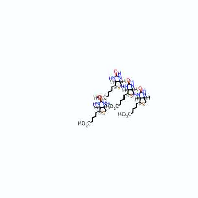 O=C(O)CCCC[C@@H]1SC[C@@H]2NC(=O)N[C@@H]21.O=C(O)CCCC[C@@H]1SC[C@@H]2NC(=O)N[C@@H]21.O=C(O)CCCC[C@@H]1SC[C@@H]2NC(=O)N[C@@H]21.O=C(O)CCCC[C@@H]1SC[C@@H]2NC(=O)N[C@@H]21